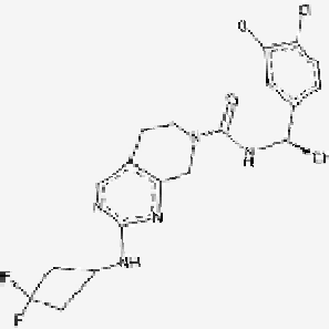 C[C@@H](NC(=O)N1CCc2cnc(NC3CC(F)(F)C3)nc2C1)c1ccc(Cl)c(Cl)c1